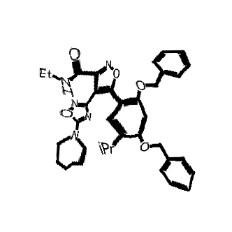 CCNC(=O)c1noc(-c2cc(C(C)C)c(OCc3ccccc3)cc2OCc2ccccc2)c1-c1noc(N2CCCCC2)n1